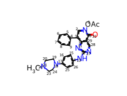 CC(=O)On1cc(-c2ccccc2)c2nc(Nc3ccc(N4CCN(C)CC4)cc3)ncc2c1=O